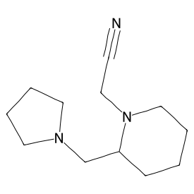 N#CCN1CCCCC1CN1CCCC1